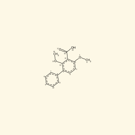 COc1ccc(-c2ccccc2)c(OC)c1C(=O)O